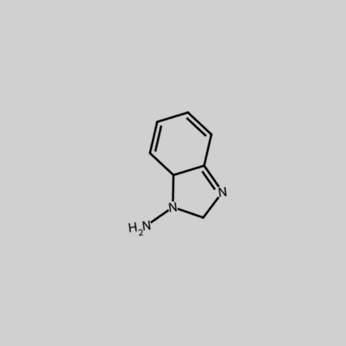 NN1CN=C2C=CC=CC21